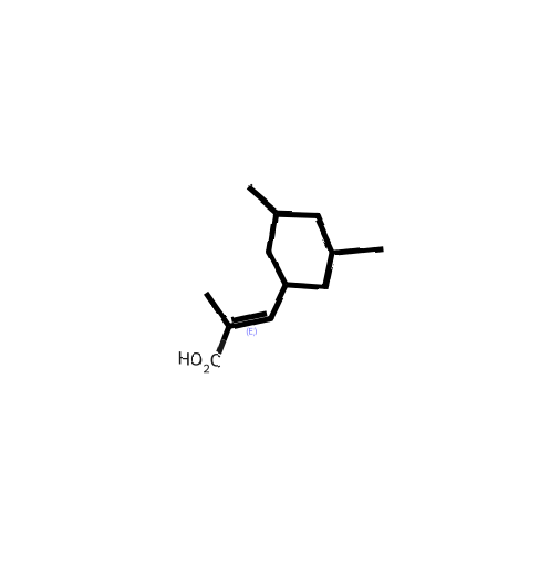 C/C(=C\C1CC(C)CC(C)C1)C(=O)O